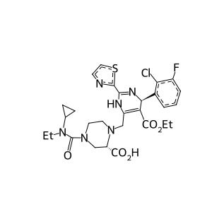 CCOC(=O)C1=C(CN2CCN(C(=O)N(CC)C3CC3)C[C@H]2C(=O)O)NC(c2nccs2)=N[C@H]1c1cccc(F)c1Cl